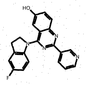 Oc1ccc2nc(-c3cccnc3)nc(N3CCc4cc(F)ccc43)c2c1